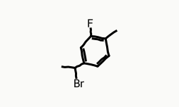 Cc1ccc(C(C)Br)cc1F